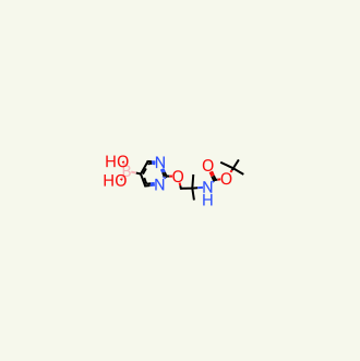 CC(C)(COc1ncc(B(O)O)cn1)NC(=O)OC(C)(C)C